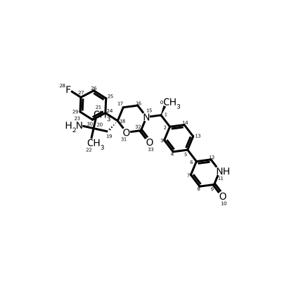 C[C@@H](c1ccc(-c2ccc(=O)[nH]c2)cc1)N1CC[C@](CC(C)(C)N)(c2ccc(F)cc2)OC1=O